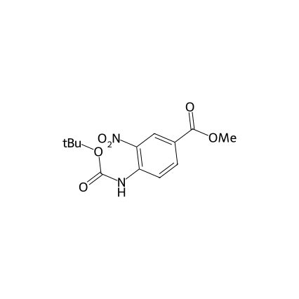 COC(=O)c1ccc(NC(=O)OC(C)(C)C)c([N+](=O)[O-])c1